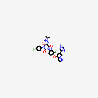 CC(C)N(C)/N=C(/C(=O)Nc1ccc(Oc2cc(-c3cn(C)cn3)cn3nccc23)c(F)c1)C(=O)N(C=O)c1ccc(F)cc1